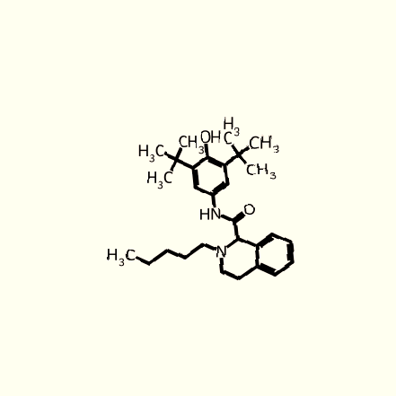 CCCCCN1CCc2ccccc2C1C(=O)Nc1cc(C(C)(C)C)c(O)c(C(C)(C)C)c1